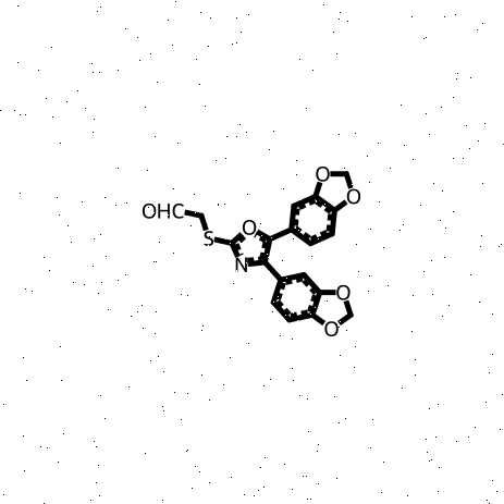 O=CCSc1nc(-c2ccc3c(c2)OCO3)c(-c2ccc3c(c2)OCO3)o1